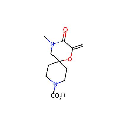 C=C1OC2(CCN(C(=O)O)CC2)CN(C)C1=O